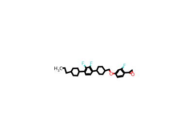 CCCC1CCC(c2ccc(C3CCC(COc4ccc(C5CO5)c(F)c4)CC3)c(F)c2F)CC1